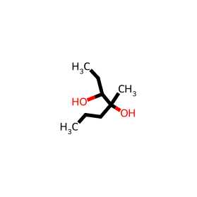 CCCC(C)(O)C(O)CC